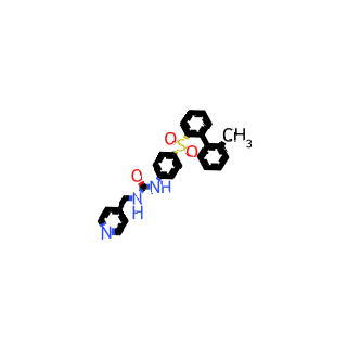 Cc1ccccc1-c1ccccc1S(=O)(=O)c1ccc(NC(=O)NCc2ccncc2)cc1